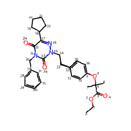 CCOC(=O)C(C)(C)Oc1ccc(CCn2nc(C3CCCC3)c(=O)n(Cc3ccccc3)c2=O)cc1